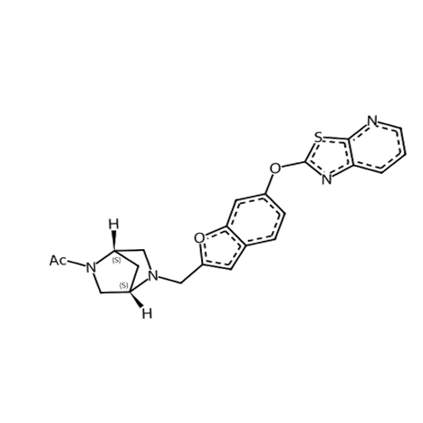 CC(=O)N1C[C@@H]2C[C@H]1CN2Cc1cc2ccc(Oc3nc4cccnc4s3)cc2o1